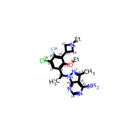 CCOc1c(C(C)n2nc(C)c3c(N)ncnc32)cc(Cl)c(F)c1C1CN(CC)C1